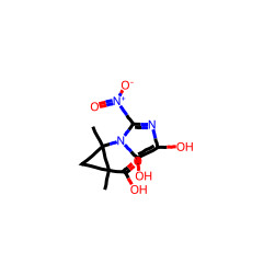 CC1(C(=O)O)CC1(C)n1c([N+](=O)[O-])nc(O)c1O